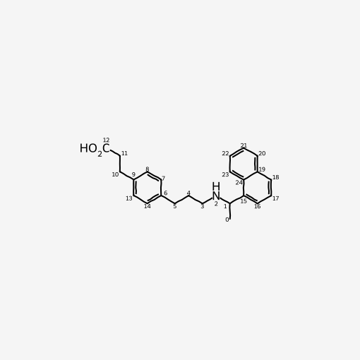 CC(NCCCc1ccc(CCC(=O)O)cc1)c1cccc2ccccc12